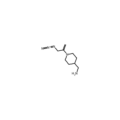 C=C(CN=[N+]=[N-])N1CCC(CN)CC1